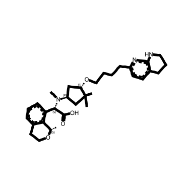 C[C@@H]1OCCc2cccc([C@@H](C(=O)O)N(C)[C@H]3C[C@H](OCCCCc4ccc5c(n4)NCCC5)C(C)(C)C3)c21